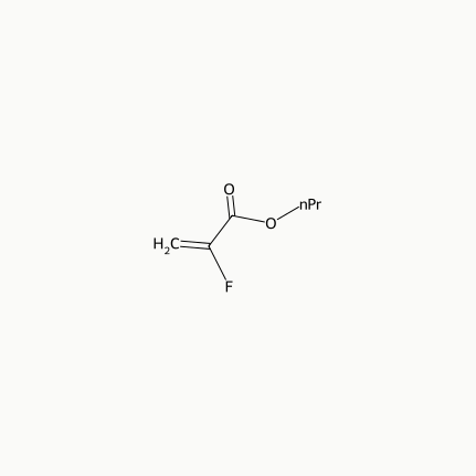 C=C(F)C(=O)OCCC